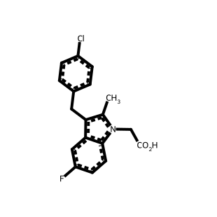 Cc1c(Cc2ccc(Cl)cc2)c2cc(F)ccc2n1CC(=O)O